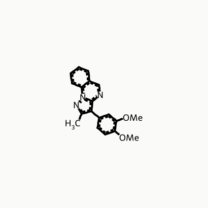 COc1ccc(-c2c(C)nn3c2ncc2ccccc23)cc1OC